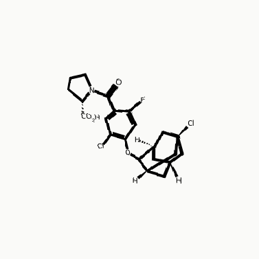 O=C(O)[C@@H]1CCCN1C(=O)c1cc(Cl)c(OC2[C@@H]3C[C@H]4C[C@H]2C[C@@](Cl)(C4)C3)cc1F